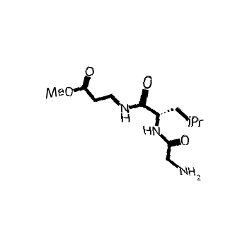 COC(=O)CCNC(=O)[C@H](CC(C)C)NC(=O)CN